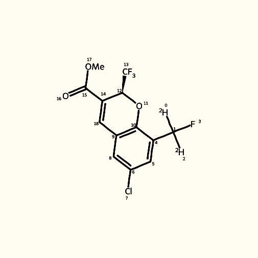 [2H]C([2H])(F)c1cc(Cl)cc2c1O[C@H](C(F)(F)F)C(C(=O)OC)=C2